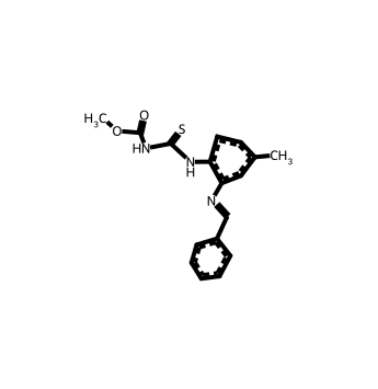 COC(=O)NC(=S)Nc1ccc(C)cc1N=Cc1ccccc1